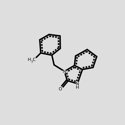 Cc1ccccc1Cn1c(=O)[nH]c2ccccc21